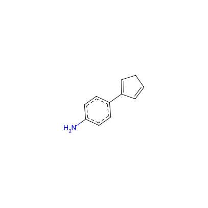 Nc1ccc(C2=CCC=C2)cc1